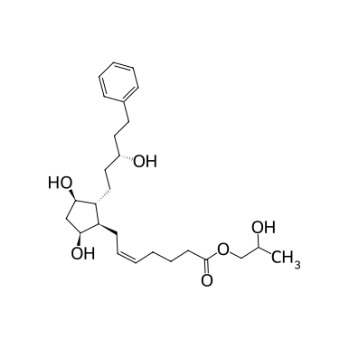 CC(O)COC(=O)CCC/C=C\C[C@@H]1[C@@H](CC[C@@H](O)CCc2ccccc2)[C@H](O)C[C@@H]1O